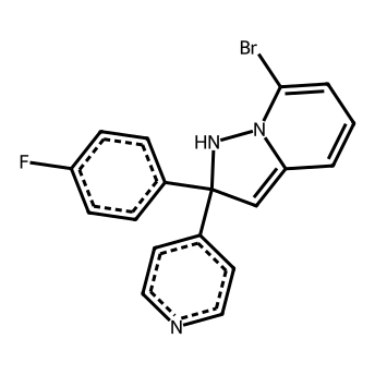 Fc1ccc(C2(c3ccncc3)C=C3C=CC=C(Br)N3N2)cc1